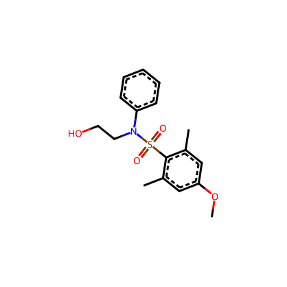 COc1cc(C)c(S(=O)(=O)N(CCO)c2ccccc2)c(C)c1